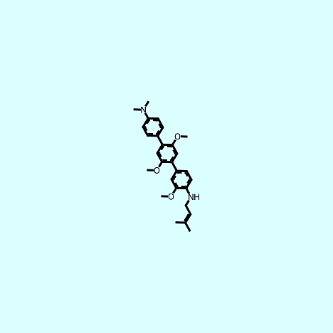 COc1cc(-c2cc(OC)c(-c3ccc(N(C)C)cc3)cc2OC)ccc1NCC=C(C)C